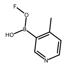 Cc1ccncc1B(O)OF